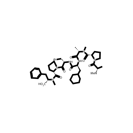 CN[C@@H](C)C(=O)N1CCC[C@H]1C(=O)N(C)[C@@H](C)C(=O)N[C@@H](CC1CCCCC1)C(=O)N[C@@H](CC(C)C)C(=O)N1CCC[C@H]1C(=O)N(C)[C@@H](Cc1ccccc1)C(=O)O